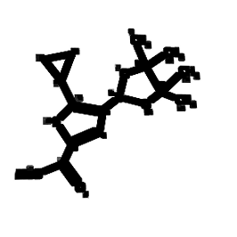 COC(=O)c1cc(B2OC(C)(C)C(C)(C)O2)c(C2CC2)s1